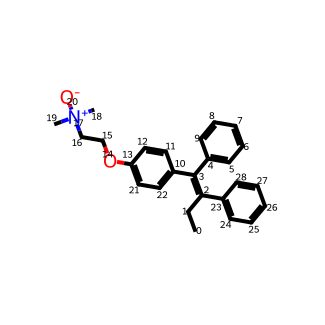 CCC(=C(c1ccccc1)c1ccc(OCC[N+](C)(C)[O-])cc1)c1ccccc1